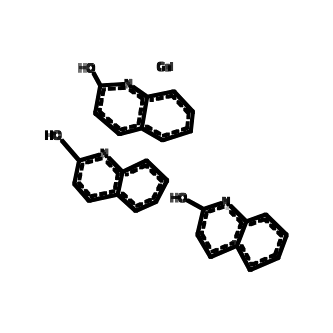 Oc1ccc2ccccc2n1.Oc1ccc2ccccc2n1.Oc1ccc2ccccc2n1.[Ga]